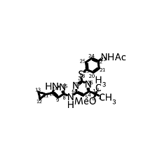 COC(C)(C)c1cc(Nc2cc(C3CC3)[nH]n2)nc(Sc2ccc(NC(C)=O)cc2)n1